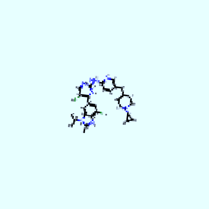 Cc1nc2c(F)cc(-c3nc(Nc4ccc(CC5CCN(C6CC6)CC5)cn4)ncc3F)cc2n1C(C)C